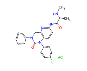 CN[C@@H](C)C(=O)Nc1ccc2c(n1)CN(c1ccccc1)C(=O)N2c1ccc(Cl)cc1.Cl